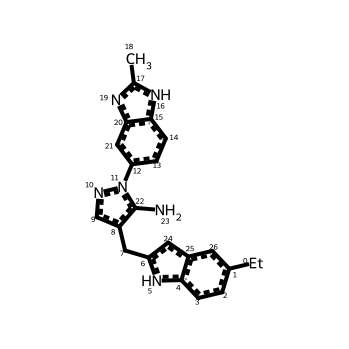 CCc1ccc2[nH]c(Cc3cnn(-c4ccc5[nH]c(C)nc5c4)c3N)cc2c1